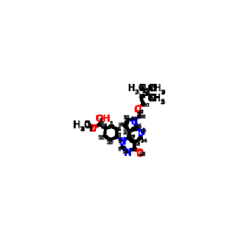 COC(O)[C@H]1CC[C@H](n2cnc(=O)c3cnc4c(ccn4COCC[Si](C)(C)C)c32)CC1